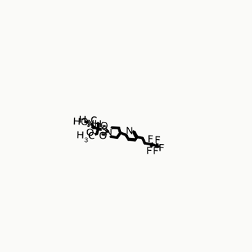 CCC(CC)(C(=O)NO)S(=O)(=O)N1CCC(c2ccc(CCC(F)(F)C(F)(F)F)cn2)CC1